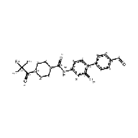 O=Cc1ccc(-n2ccc(NC(=O)N3CCN(C(=O)C(F)(F)F)CC3)nc2=O)cc1